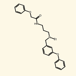 CCN(CCCNC(=O)COc1ccccc1)Cc1cccc(Oc2ccccc2)c1